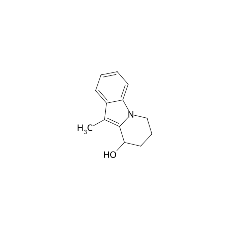 Cc1c2n(c3ccccc13)CCCC2O